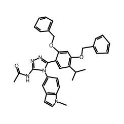 CC(=O)Nc1nnc(-c2cc(C(C)C)c(OCc3ccccc3)cc2OCc2ccccc2)n1-c1ccc2c(ccn2C)c1